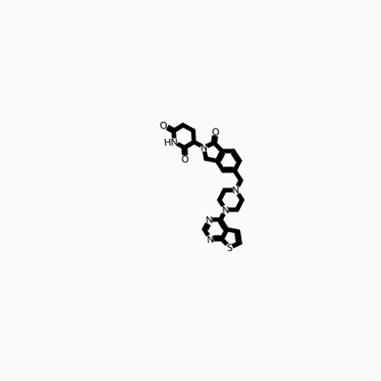 O=C1CCC(N2Cc3cc(CN4CCN(c5ncnc6sccc56)CC4)ccc3C2=O)C(=O)N1